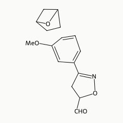 C1CC2CC1O2.COc1cccc(C2=NOC(C=O)C2)c1